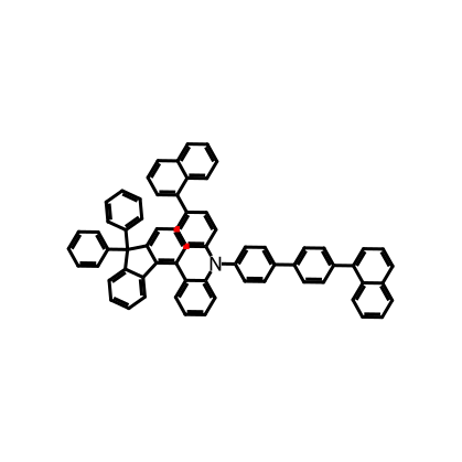 c1ccc(C2(c3ccccc3)c3ccccc3-c3c(-c4ccccc4N(c4ccc(-c5ccc(-c6cccc7ccccc67)cc5)cc4)c4ccc(-c5cccc6ccccc56)cc4)cccc32)cc1